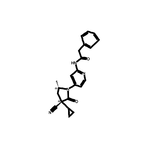 C[C@H]1C[C@@](C#N)(C2CC2)C(=O)N1c1ccnc(NC(=O)Cc2ccccc2)c1